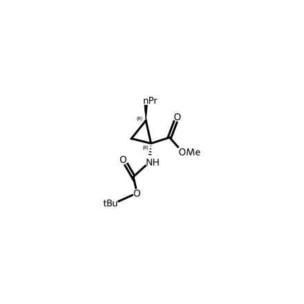 CCC[C@@H]1C[C@]1(NC(=O)OC(C)(C)C)C(=O)OC